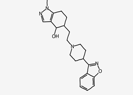 Cn1ncc2c1CCC(CCN1CCC(c3noc4ccccc34)CC1)C2O